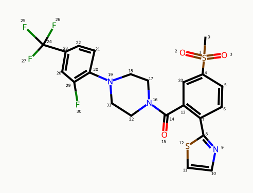 CS(=O)(=O)c1ccc(-c2nccs2)c(C(=O)N2CCN(c3ccc(C(F)(F)F)cc3F)CC2)c1